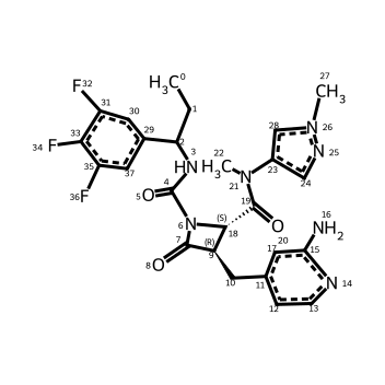 CCC(NC(=O)N1C(=O)[C@H](Cc2ccnc(N)c2)[C@H]1C(=O)N(C)c1cnn(C)c1)c1cc(F)c(F)c(F)c1